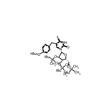 CCCCOc1ccc(Cc2cn([C@@H]3O[C@H](CO[Si](C)(C)C(C)(C)C)[C@@H](O[Si](C)(C)C(C)(C)C)[C@H]3O[Si](C)(C)C(C)(C)C)c(=O)[nH]c2=S)cc1